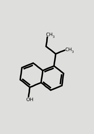 CCC(C)c1cccc2c(O)cccc12